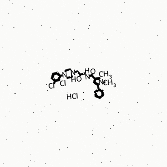 Cc1c(C(=O)NCC(O)CN2CCN(c3cccc(Cl)c3Cl)CC2)cc(-c2ccccc2)n1C.Cl